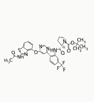 CC(=O)Nc1nc2c(Oc3cc(-c4ccc(C(F)(F)F)cc4NC(=O)[C@@H]4CCCN4C(=O)OC(C)(C)C)ncn3)cccc2s1